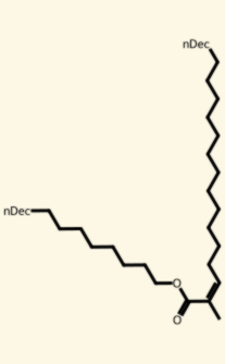 CCCCCCCCCCCCCCCCCCCCCCC=C(C)C(=O)OCCCCCCCCCCCCCCCCCC